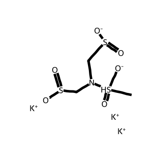 C[SH](=O)([O-])N(CS(=O)[O-])CS(=O)[O-].[K+].[K+].[K+]